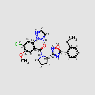 CCc1ccccc1-c1nc([C@@H]2CCCN2C(=O)c2cc(OC)c(Cl)cc2-n2nccn2)no1